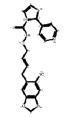 O=C(NOCC=CCc1cc2c(cc1[N+](=O)[O-])OCO2)N1[C]=CSC1c1ccncc1